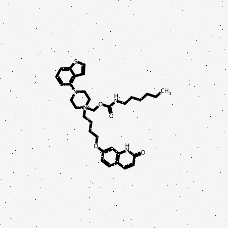 CCCCCCNC(=O)OC[N+]1(CCCCOc2ccc3ccc(=O)[nH]c3c2)CCN(c2cccc3sccc23)CC1